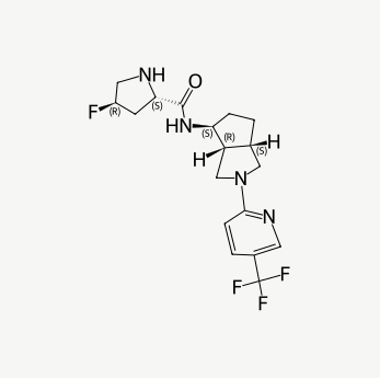 O=C(N[C@H]1CC[C@@H]2CN(c3ccc(C(F)(F)F)cn3)C[C@@H]21)[C@@H]1C[C@@H](F)CN1